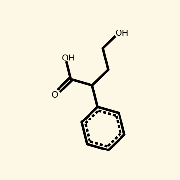 O=C(O)C(CCO)c1ccccc1